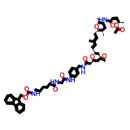 CC(=O)O[C@@H](C)/C=C\C(=O)N[C@@H]1C[C@H](C)[C@H](C/C=C(C)/C=C/[C@@H]2C[C@]3(CO3)C[C@@H](CC(=O)NCc3ccc(NC(=O)CNC(=O)CCCCCNC(=O)OCC4c5ccccc5-c5ccccc54)cc3)O2)O[C@@H]1C